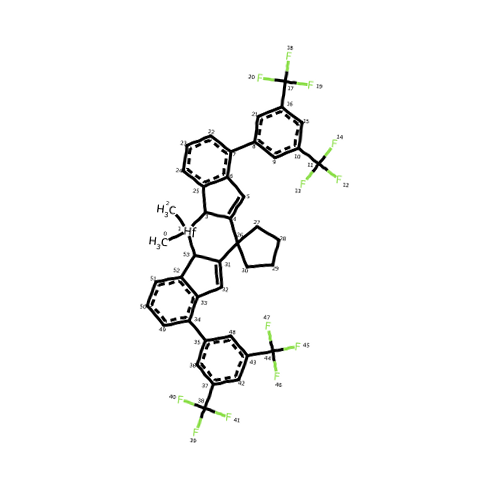 [CH3][Hf]1([CH3])[CH]2C(=Cc3c(-c4cc(C(F)(F)F)cc(C(F)(F)F)c4)cccc32)C2(CCCC2)C2=Cc3c(-c4cc(C(F)(F)F)cc(C(F)(F)F)c4)cccc3[CH]21